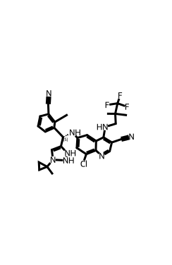 Cc1c(C#N)cccc1[C@H](Nc1cc(Cl)c2ncc(C#N)c(NCC(C)(C)C(F)(F)F)c2c1)C1=CN(C2(C)CC2)NN1